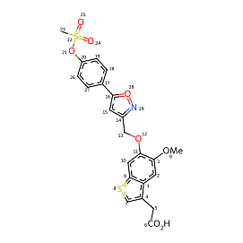 COc1cc2c(CC(=O)O)csc2cc1OCc1cc(-c2ccc(OS(C)(=O)=O)cc2)on1